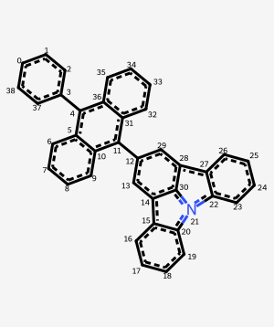 c1ccc(-c2c3ccccc3c(-c3cc4c5ccccc5n5c6ccccc6c(c3)c45)c3ccccc23)cc1